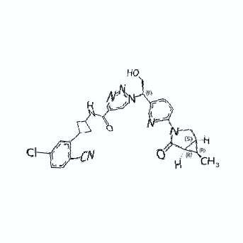 C[C@@H]1[C@@H]2CN(c3ccc([C@H](CO)n4cc(C(=O)NC5CC(c6cc(Cl)ccc6C#N)C5)nn4)cn3)C(=O)[C@H]12